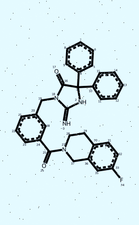 N=C1NC(c2ccccc2)(c2ccccc2)C(=O)N1Cc1cccc(C(=O)N2CCc3ccc(F)cc3C2)c1